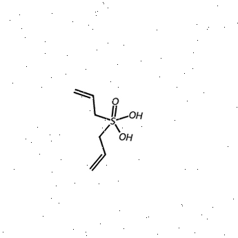 C=CCS(=O)(O)(O)CC=C